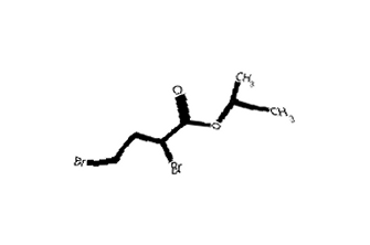 CC(C)OC(=O)C(Br)CCBr